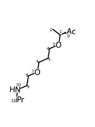 CC(=O)[C@H](C)OCCCOCCNC(C)C